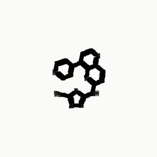 CC(C)c1nnc(Nc2ccc3nccc(-c4ccncc4)c3n2)s1